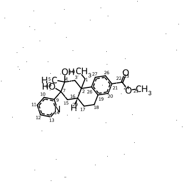 CCC12CC(C)(O)C(O)(c3ccccn3)C[C@H]1CCc1cc(C(=O)OC)ccc12